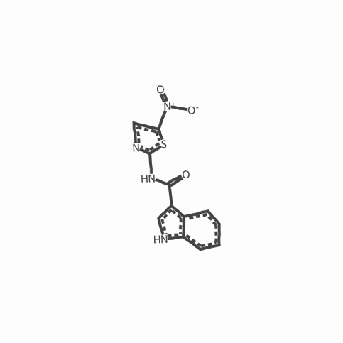 O=C(Nc1ncc([N+](=O)[O-])s1)c1c[nH]c2ccccc12